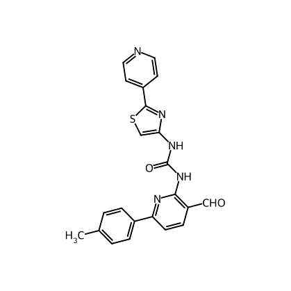 Cc1ccc(-c2ccc(C=O)c(NC(=O)Nc3csc(-c4ccncc4)n3)n2)cc1